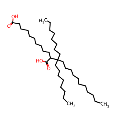 CCCCCCCCCCCC(CCCCCCCC)(CCCCCCCC)C(CCCCCCCCCC(=O)O)C(=O)O